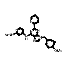 COc1ccc(Cn2cnc3c(Nc4ccnc(NC(C)=O)c4)nc(-c4ccccn4)nc32)cc1